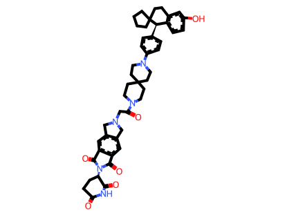 O=C1CC[C@@H](N2C(=O)c3cc4c(cc3C2=O)CN(CC(=O)N2CCC3(CC2)CCN(c2ccc([C@@H]5c6ccc(O)cc6CCC56CCCC6)cc2)CC3)C4)C(=O)N1